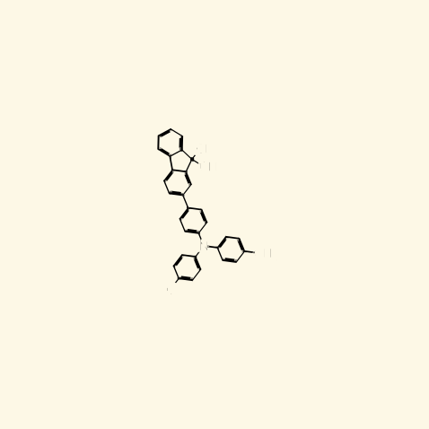 Cc1ccc(N(c2ccc(C)cc2)c2ccc(-c3ccc4c(c3)C(C)(C)c3ccccc3-4)cc2)cc1